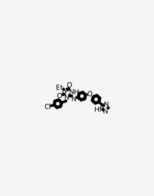 CCn1c(=O)[nH]/c(=N\c2ccc(Oc3ccc(-c4ncn[nH]4)cc3)cc2)n(Cc2ccc(Cl)cc2)c1=O